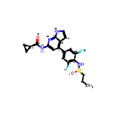 CCC[S+]([O-])Nc1c(F)cc(-c2cc(NC(=O)C3CC3)nc3[nH]ccc23)cc1F